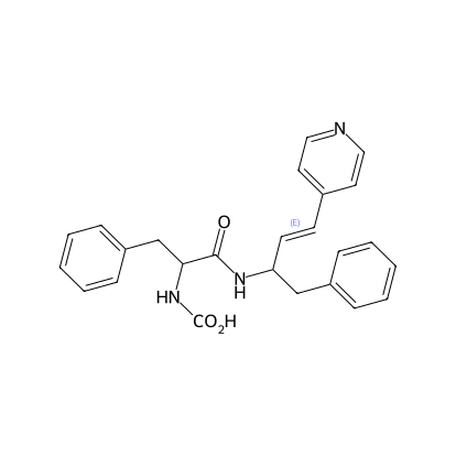 O=C(O)NC(Cc1ccccc1)C(=O)NC(/C=C/c1ccncc1)Cc1ccccc1